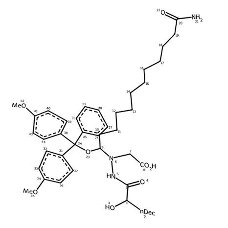 CCCCCCCCCCC(O)C(=O)NN(CC(=O)O)C(CCCCCCCCCCC(N)=O)OC(c1ccccc1)(c1ccc(OC)cc1)c1ccc(OC)cc1